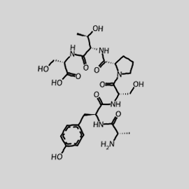 C[C@H](N)C(=O)N[C@@H](Cc1ccc(O)cc1)C(=O)N[C@@H](CO)C(=O)N1CCC[C@H]1C(=O)N[C@H](C(=O)N[C@@H](CO)C(=O)O)[C@@H](C)O